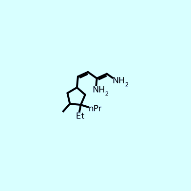 CCCC1(CC)CC(/C=C\C(N)=C\N)CC1C